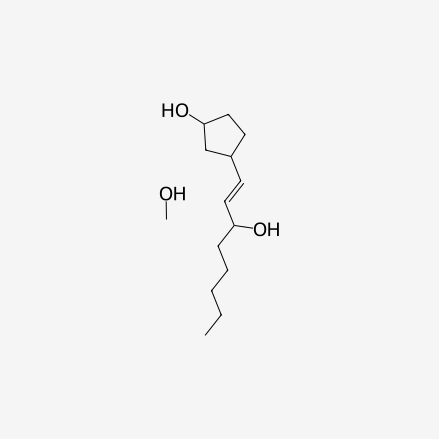 CCCCCC(O)C=CC1CCC(O)C1.CO